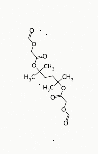 CC(C)(CCC(C)(C)OC(=O)COC=O)OC(=O)COC=O